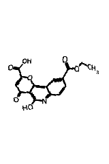 CCOC(=O)c1ccc2nc(O)c3c(=O)cc(C(=O)O)oc3c2c1